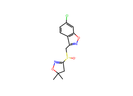 CC1(C)CC([S+]([O-])Cc2noc3cc(Cl)ccc23)=NO1